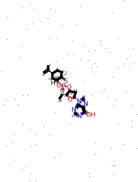 C=C(C)[C@H]1CC[C@@]2(C)S[P@](=S)(O[C@H]3C[C@H](n4cnc5c(O)ncnc54)O[C@@H]3CC)O[C@@H]2C1